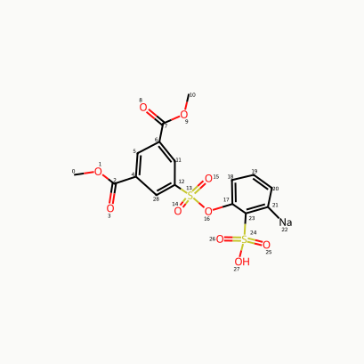 COC(=O)c1cc(C(=O)OC)cc(S(=O)(=O)Oc2ccc[c]([Na])c2S(=O)(=O)O)c1